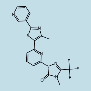 Cc1nc(-c2cccnc2)sc1-c1cccc(-n2nc(C(F)(F)F)n(C)c2=O)n1